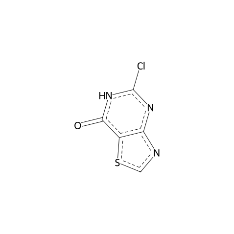 O=c1[nH]c(Cl)nc2ncsc12